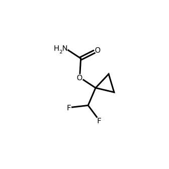 NC(=O)OC1(C(F)F)CC1